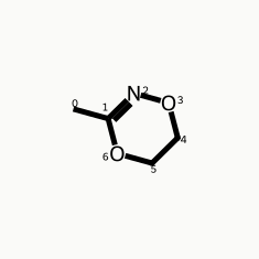 CC1=NOCCO1